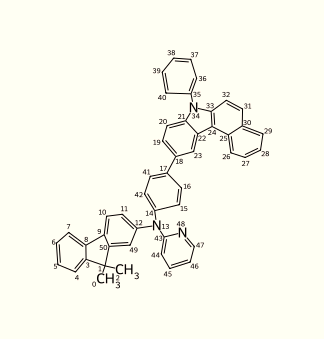 CC1(C)c2ccccc2-c2ccc(N(c3ccc(-c4ccc5c(c4)c4c6ccccc6ccc4n5-c4ccccc4)cc3)c3ccccn3)cc21